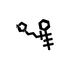 CC(C)(C)C(C)(C)C(C)(c1ccccc1)C(C)(C)CCCN1C=NCC1